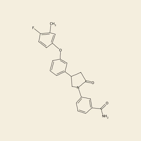 Cc1cc(Oc2cccc(C3CC(=O)N(c4cccc(C(N)=O)c4)C3)c2)ccc1F